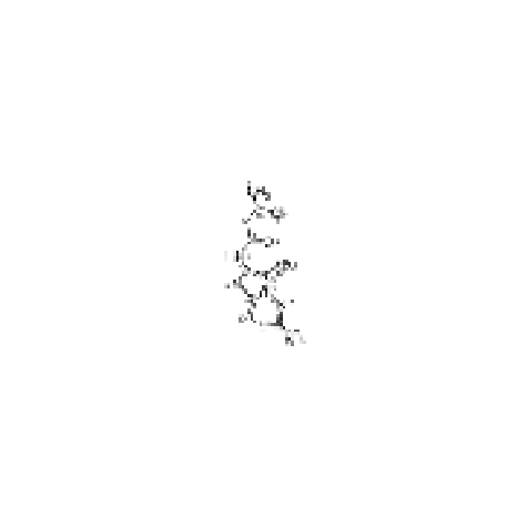 C[C@@H](O)CC(=O)Nc1nc2ccc(C(F)(F)F)nc2n1C(C)(C)C